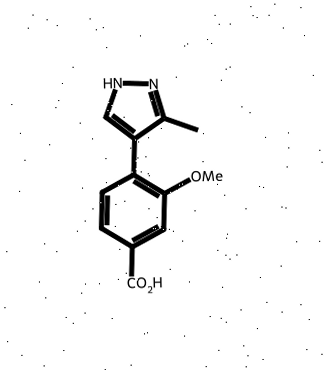 COc1cc(C(=O)O)ccc1-c1c[nH]nc1C